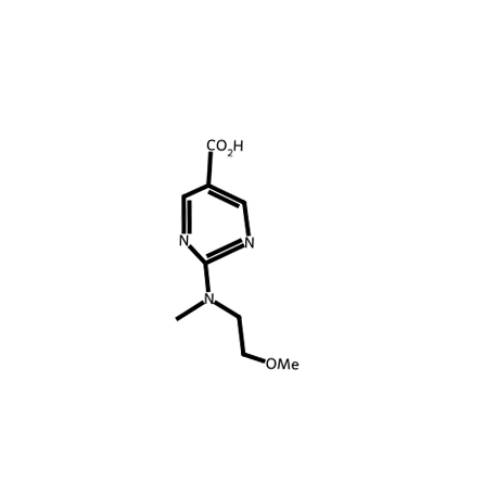 COCCN(C)c1ncc(C(=O)O)cn1